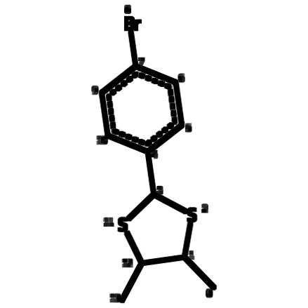 CC1SC(c2ccc(Br)cc2)SC1C